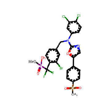 COP(=O)(O)C(F)(F)c1ccc(CN(c2ccc(Cl)c(Cl)c2)c2ncc(-c3ccc(S(C)(=O)=O)cc3)o2)cc1Br